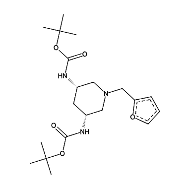 CC(C)(C)OC(=O)N[C@@H]1C[C@H](NC(=O)OC(C)(C)C)CN(Cc2ccco2)C1